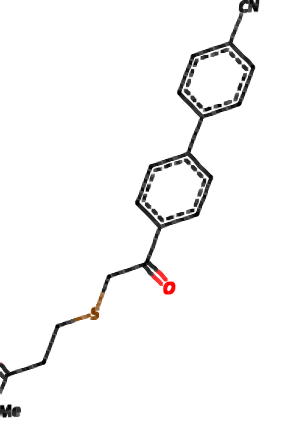 COC(=O)CCSCC(=O)c1ccc(-c2ccc(C#N)cc2)cc1